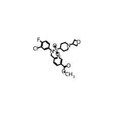 COC(=O)c1ccc(CN(c2ccc(F)c(Cl)c2)S(=O)(=O)C2CCN(C3COC3)CC2)nc1